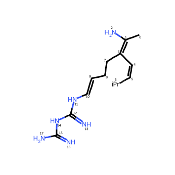 C/C(N)=C(\C=C/C(C)C)CC/C=C/NC(=N)NC(=N)N